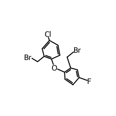 Fc1ccc(Oc2ccc(Cl)cc2CBr)c(CBr)c1